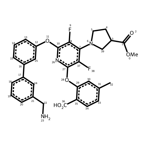 COC(=O)C1CCN(c2c(F)c(Oc3cccc(-c4cccc(CN)c4)c3)nc(Oc3cc(C)ccc3C(=O)O)c2F)C1